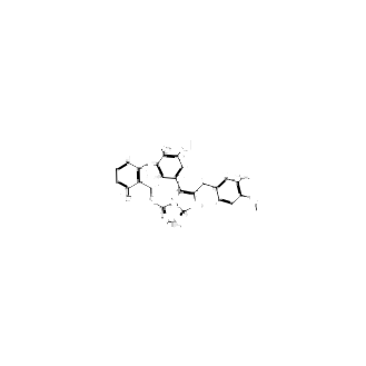 COc1ccc(Cc2sc3nnc(SCc4c(F)cccc4F)n3c2-c2ccc(F)c(Cl)c2)cc1Cl